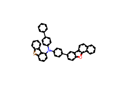 c1ccc(-c2ccc(N(c3ccc(-c4ccc5oc6c7ccccc7ccc6c5c4)cc3)c3cccc4sc5ccccc5c34)cc2)cc1